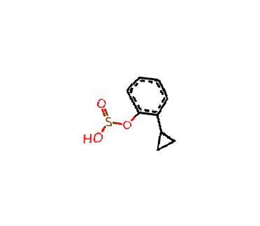 O=S(O)Oc1ccccc1C1CC1